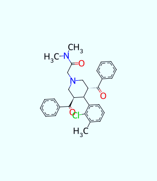 Cc1cccc(C2[C@@H](C(=O)c3ccccc3)CN(CC(=O)N(C)C)C[C@@H]2C(=O)c2ccccc2)c1Cl